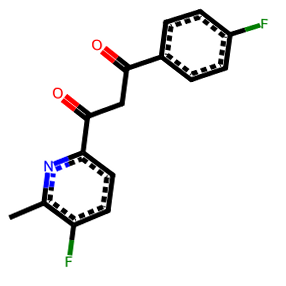 Cc1nc(C(=O)CC(=O)c2ccc(F)cc2)ccc1F